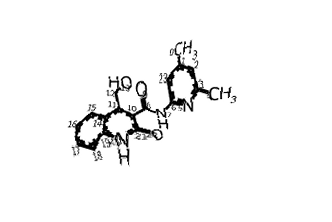 Cc1cc(C)nc(NC(=O)c2c(CO)c3ccccc3[nH]c2=O)c1